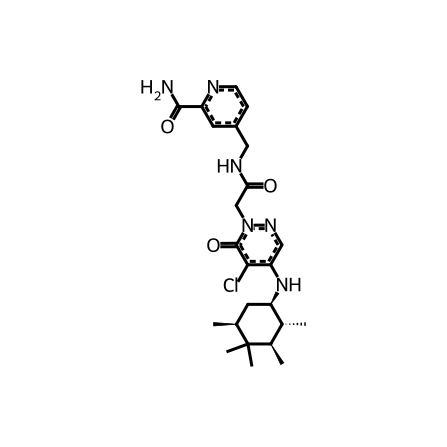 C[C@@H]1[C@@H](C)C(C)(C)[C@@H](C)C[C@H]1Nc1cnn(CC(=O)NCc2ccnc(C(N)=O)c2)c(=O)c1Cl